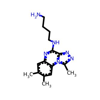 Cc1cc2nc(NCCCCN)c3nnc(C)n3c2cc1C